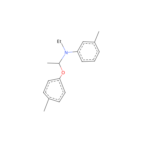 CCN(c1cccc(C)c1)C(C)Oc1ccc(C)cc1